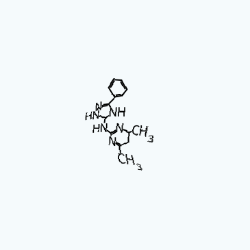 CC1=NC(NC2NN=C(c3ccccc3)N2)=NC(C)C1